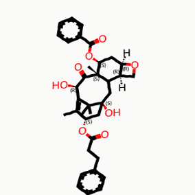 CC1=C2[C@@H](O)C(=O)[C@@]3(C)C(C[C@](O)(C[C@@H]1OC(=O)CCc1ccccc1)C2(C)C)[C@@H]1CO[C@@H]1C[C@@H]3OC(=O)c1ccccc1